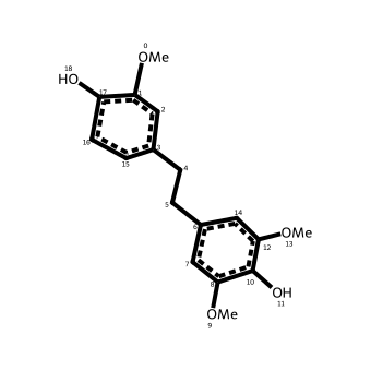 COc1cc(CCc2cc(OC)c(O)c(OC)c2)ccc1O